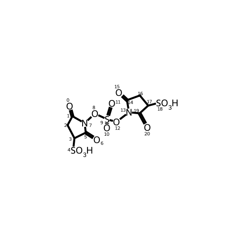 O=C1CC(S(=O)(=O)O)C(=O)N1OS(=O)(=O)ON1C(=O)CC(S(=O)(=O)O)C1=O